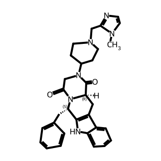 Cn1ccnc1CN1CCC(N2CC(=O)N3[C@H](Cc4c([nH]c5ccccc45)[C@@H]3Cc3ccccc3)C2=O)CC1